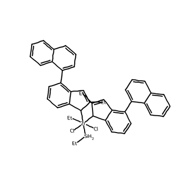 CC[SiH2][Zr]([Cl])([Cl])([CH2]C)([CH]1C(CC)=Cc2c(-c3cccc4ccccc34)cccc21)[CH]1C(CC)=Cc2c(-c3cccc4ccccc34)cccc21